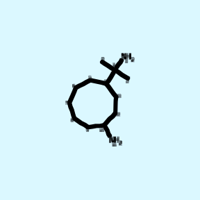 CC(C)(N)C1CCCCCC(N)CC1